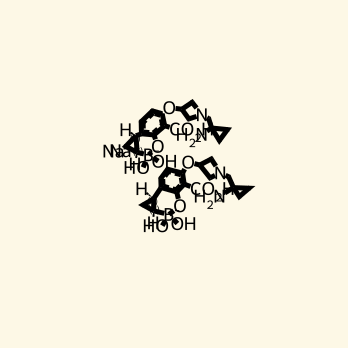 NC1(CN2CC(Oc3ccc4c(c3C(=O)O)O[B-](O)(O)[C@H]3C[C@@H]43)C2)CC1.NC1(CN2CC(Oc3ccc4c(c3C(=O)O)O[B-](O)(O)[C@H]3C[C@@H]43)C2)CC1.[Na+].[Na+]